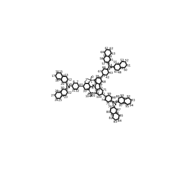 CC1(C)c2cc(-c3ccc(N(c4ccc5ccccc5c4)c4ccc5ccccc5c4)cc3)cc3c2-n2c4c1cc(-c1ccc(N(c5ccc6ccccc6c5)c5ccc6ccccc6c5)cc1)cc4c1cc(-c4ccc(N(c5ccc6ccccc6c5)c5ccc6ccccc6c5)cc4)cc(c12)C3(C)C